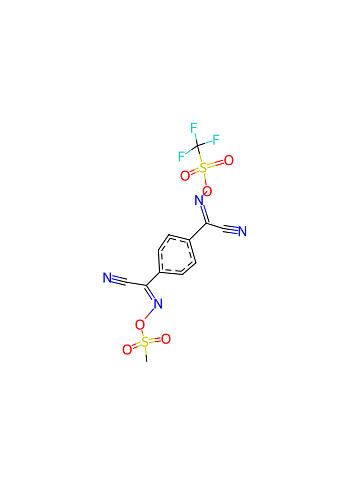 CS(=O)(=O)ON=C(C#N)c1ccc(C(C#N)=NOS(=O)(=O)C(F)(F)F)cc1